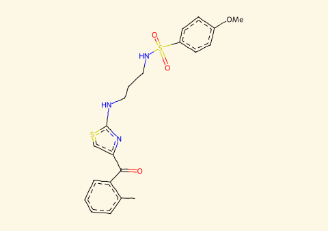 COc1ccc(S(=O)(=O)NCCCNc2nc(C(=O)c3ccccc3C)cs2)cc1